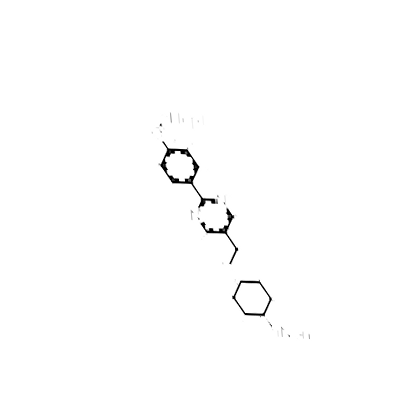 CCCCCCCCC[C@H]1CC[C@H](CCc2cnc(-c3ccc(OCCCCCCC)cc3)nc2)CC1